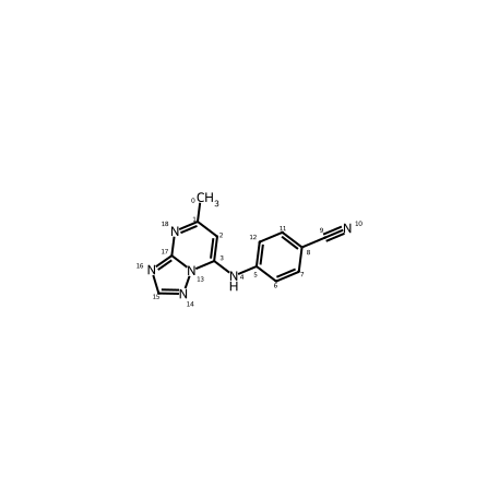 Cc1cc(Nc2ccc(C#N)cc2)n2ncnc2n1